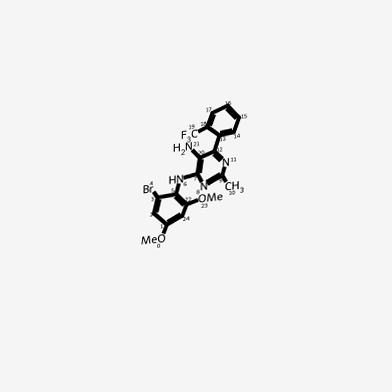 COc1cc(Br)c(Nc2nc(C)nc(-c3ccccc3C(F)(F)F)c2N)c(OC)c1